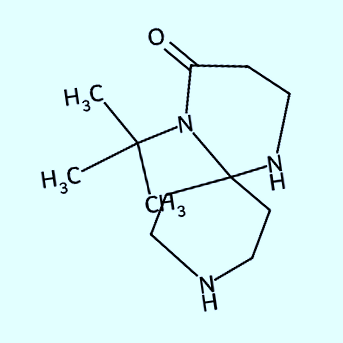 CC(C)(C)N1C(=O)CCNC12CCNCC2